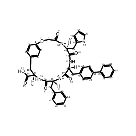 O=C1COc2ccc(cc2)C[C@@H](C(=O)O)NC(=O)[C@@H](Cc2ccccc2)NC(=O)[C@@H](Cc2ccc(-c3ccccc3)cc2)NC(=O)[C@H](Cc2cccs2)N1